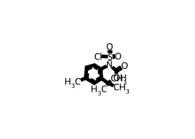 Cc1ccc(N(C(=O)O)S(=O)(=O)Cl)c(C(C)(C)C)c1